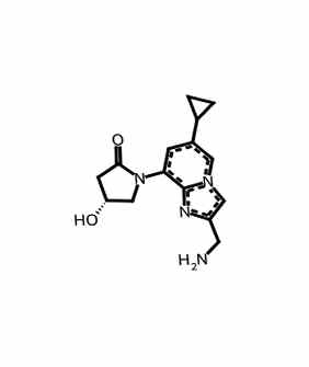 NCc1cn2cc(C3CC3)cc(N3C[C@H](O)CC3=O)c2n1